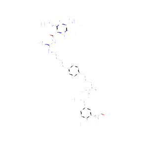 C[C@H](CCCc1ccc(CCCCNC(=N)NC(=O)c2nc(Cl)c(N)nc2N)cc1)NC[C@H](O)c1ccc(O)c(NC=O)c1